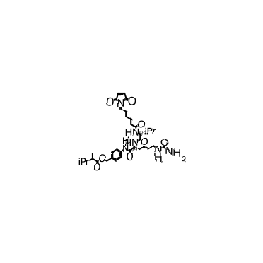 CC(C)C(C)C(=O)OCc1ccc(NC(=O)[C@@H](CCCCNC(N)=O)NC(=O)[C@H](NC(=O)CCCCCN2C(=O)C=CC2=O)C(C)C)cc1